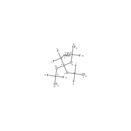 CCCCCCCCCC(F)(F)[Si](OC(F)(F)C(F)(F)F)(OC(F)(F)C(F)(F)F)OC(F)(F)C(F)(F)F